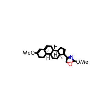 COC1=CC2=CC[C@@H]3[C@H](CC[C@]4(C)C(C5=NC(OC)OC5)=CC[C@@H]34)[C@@]2(C)CC1